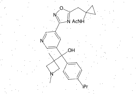 CC(=O)NC1(Cc2nc(-c3cncc(C(O)(c4ccc(C(C)C)cc4)C4(C)CN(C)C4)c3)no2)CC1